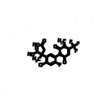 Cn1c(C(F)(F)F)cc(=O)n(-c2cc(C(C)(CC(=O)O)C(=O)O)c(Cl)cc2F)c1=O